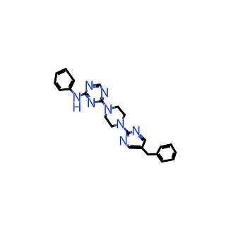 c1ccc(Cc2cnc(N3CCN(c4ncnc(Nc5ccccc5)n4)CC3)nc2)cc1